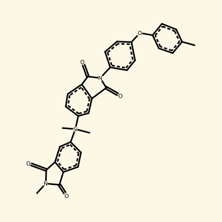 Cc1ccc(Oc2ccc(N3C(=O)c4ccc([Si](C)(C)c5ccc6c(c5)C(=O)N(C)C6=O)cc4C3=O)cc2)cc1